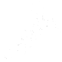 CC(C)C[C@@H](NC(=O)[C@@H](Cc1ccccc1)NC(=O)[C@@H](Cc1ccccc1)NC(=O)OC(C)(C)C)C(=O)N[C@H](CCCCN)C(=O)O